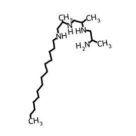 CCCCCCCCCCCCCCNCC(C)NCC(C)NCC(C)N